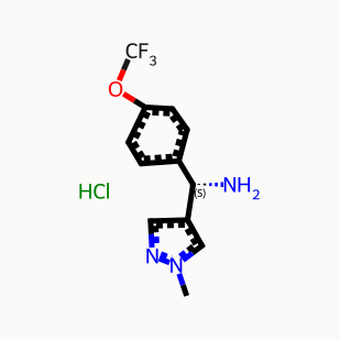 Cl.Cn1cc([C@@H](N)c2ccc(OC(F)(F)F)cc2)cn1